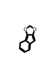 C1=CCC2=C3OCOC3=CC2=C1